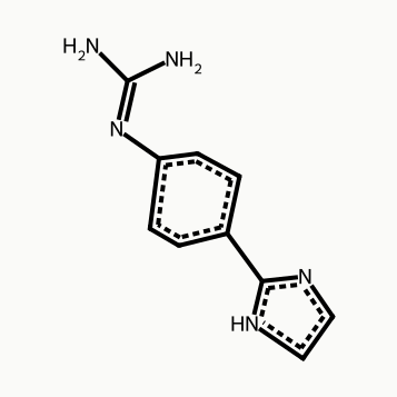 NC(N)=Nc1ccc(-c2ncc[nH]2)cc1